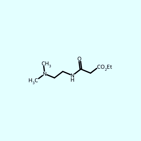 CCOC(=O)CC(=O)NCCN(C)C